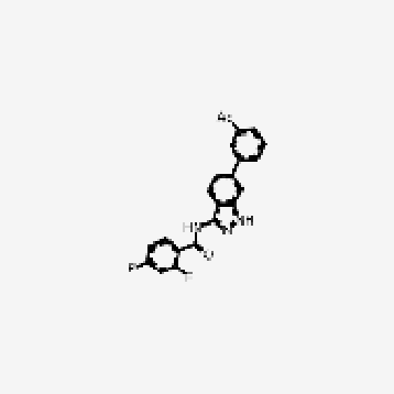 CC(=O)c1cccc(-c2ccc3c(NC(=O)c4ccc(F)cc4F)n[nH]c3c2)c1